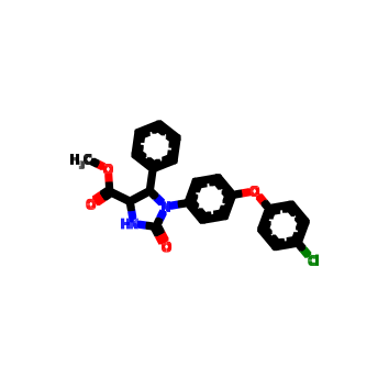 COC(=O)C1NC(=O)N(c2ccc(Oc3ccc(Cl)cc3)cc2)C1c1ccccc1